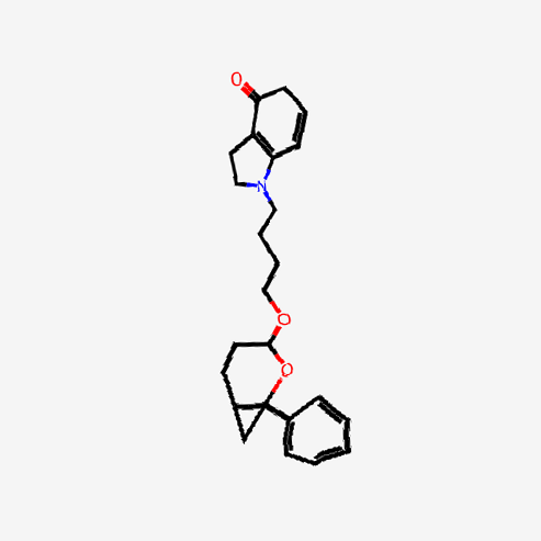 O=C1CC=CC2=C1CCN2CCCCOC1CCC2CC2(c2ccccc2)O1